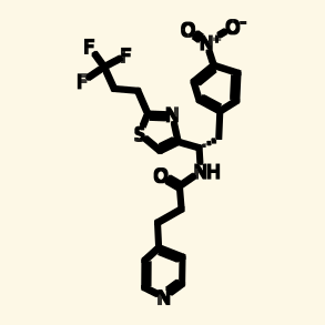 O=C(CCc1ccncc1)N[C@@H](Cc1ccc([N+](=O)[O-])cc1)c1csc(CCC(F)(F)F)n1